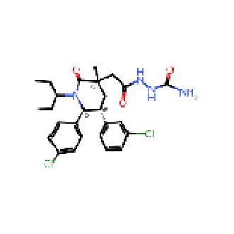 CCC(CC)N1C(=O)[C@](C)(CC(=O)NNC(N)=O)C[C@H](c2cccc(Cl)c2)[C@H]1c1ccc(Cl)cc1